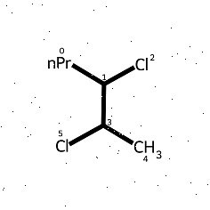 CCCC(Cl)C(C)Cl